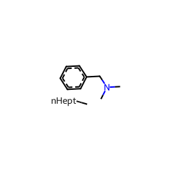 CCCCCCCC.CN(C)Cc1ccccc1